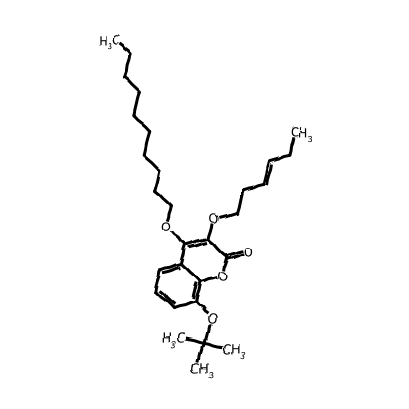 CC/C=C/CCOc1c(OCCCCCCCCCC)c2cccc(OC(C)(C)C)c2oc1=O